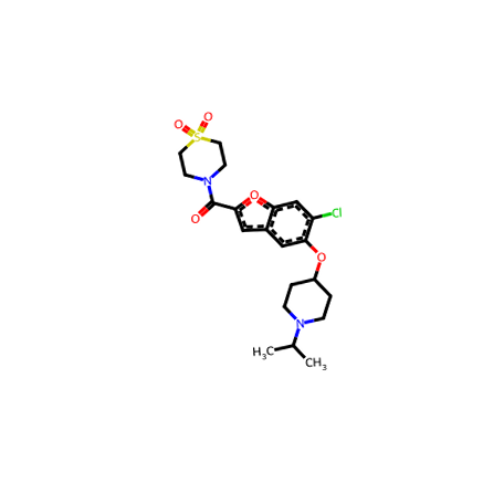 CC(C)N1CCC(Oc2cc3cc(C(=O)N4CCS(=O)(=O)CC4)oc3cc2Cl)CC1